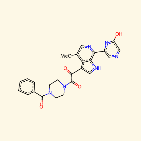 COc1cnc(-c2cncc(O)n2)c2[nH]cc(C(=O)C(=O)N3CCN(C(=O)c4ccccc4)CC3)c12